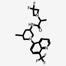 CC1CC(NC(=O)C(C)N2CC(F)(F)C2)CN(c2ccc(C(F)(F)F)c3ncccc23)C1